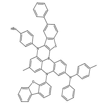 CCCCc1ccc(N2c3cc(C)cc4c3B(c3ccc(N(c5ccccc5)c5ccc(C)cc5)cc3N4c3cccc4c3oc3ccccc34)c3sc4ccc(-c5ccccc5)cc4c32)cc1